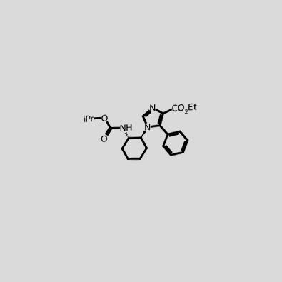 CCOC(=O)c1ncn([C@H]2CCCC[C@@H]2NC(=O)OC(C)C)c1-c1ccccc1